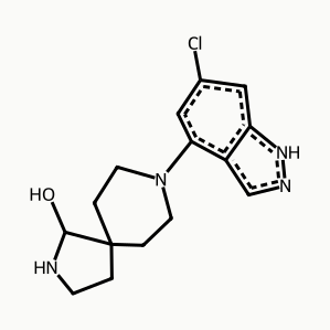 OC1NCCC12CCN(c1cc(Cl)cc3[nH]ncc13)CC2